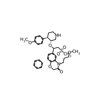 COCCCN1C(=O)COc2ccc(C(CS(C)(=O)=O)O[C@H]3CNCC[C@@H]3c3ccc(OC)cc3)cc21.c1ccccc1